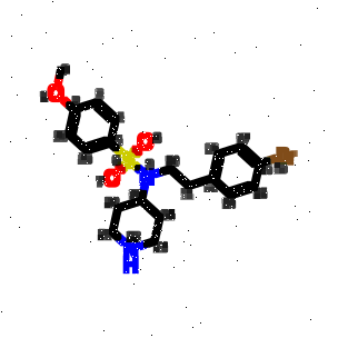 COc1ccc(S(=O)(=O)N(CCc2ccc(Br)cc2)C2CCNCC2)cc1